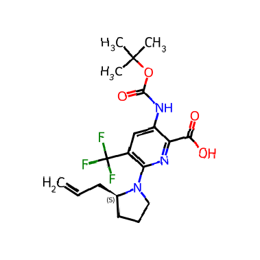 C=CC[C@@H]1CCCN1c1nc(C(=O)O)c(NC(=O)OC(C)(C)C)cc1C(F)(F)F